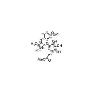 COC(=O)OC[C@H]1O[C@@H](Oc2nn(C(C)C)c(C)c2Cc2ccc(OC(C)C)cc2)[C@H](O)[C@@H](O)[C@@H]1O